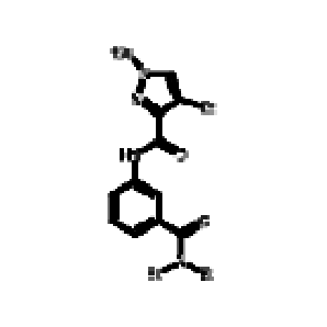 CCc1cn(C(C)(C)C)nc1C(=O)Nc1cccc(C(=O)N(CC)CC)c1